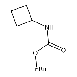 CCCCOC(=O)NC1CCC1